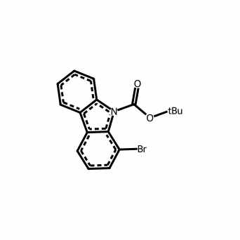 CC(C)(C)OC(=O)n1c2ccccc2c2cccc(Br)c21